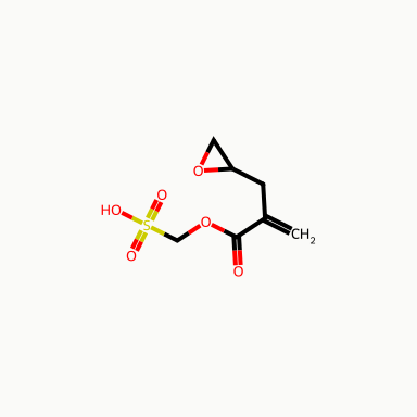 C=C(CC1CO1)C(=O)OCS(=O)(=O)O